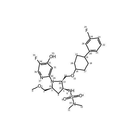 COC[C@@H]1C[C@H](NS(=O)(=O)N(C)C)[C@H](COC2CCC(c3cccc(F)c3)CC2)N1c1cc(O)c(F)cn1